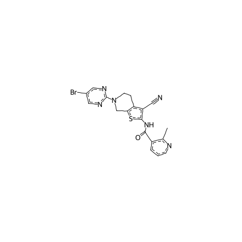 Cc1ncccc1C(=O)Nc1sc2c(c1C#N)CCN(c1ncc(Br)cn1)C2